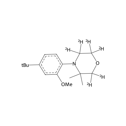 [2H]C1([2H])OC([2H])([2H])C(C)(C)N(c2ccc(C(C)(C)C)cc2OC)C1([2H])[2H]